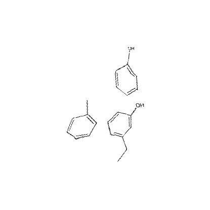 CCc1cccc(O)c1.Cc1ccccc1.Oc1ccccc1